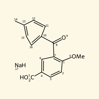 COc1ccc(C(=O)O)cc1C(=O)c1ccc(C)cc1.[NaH]